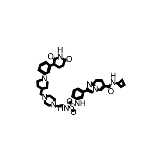 O=C1CCC(c2cccc(N3CCC(CN4CCN(CCNS(=O)(=O)Nc5cccc(-c6cn7cc(C(=O)NC8CCC8)ccc7n6)c5)CC4)CC3)c2)C(=O)N1